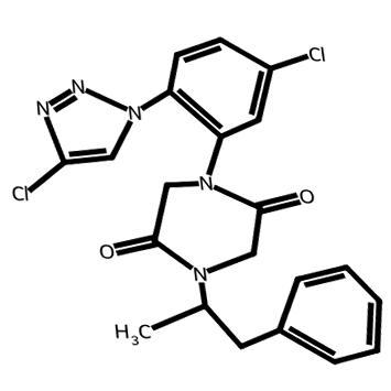 CC(Cc1ccccc1)N1CC(=O)N(c2cc(Cl)ccc2-n2cc(Cl)nn2)CC1=O